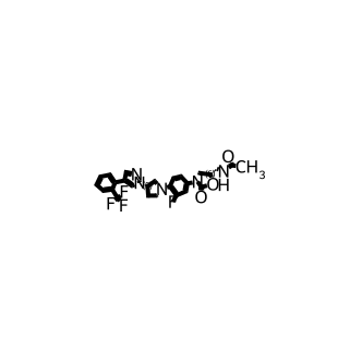 CC(=O)NC[C@H]1CN(c2ccc(N3CC[C@H](n4cc(-c5ccccc5C(F)(F)F)cn4)C3)c(F)c2)C(=O)O1